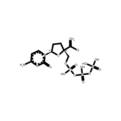 C=C(CC)[C@@]1(COP(=O)(O)OP(=O)(O)OP(=O)(O)O)CC[C@H](n2ccc(N)nc2=O)O1